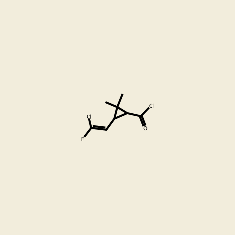 CC1(C)C(C=C(F)Cl)C1C(=O)Cl